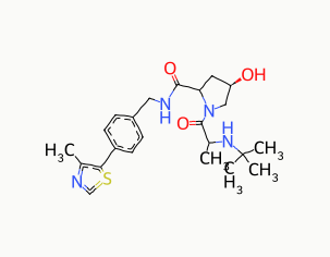 Cc1ncsc1-c1ccc(CNC(=O)C2C[C@@H](O)CN2C(=O)C(C)NC(C)(C)C)cc1